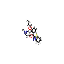 CCCCOc1cccc(C(OC2CCN(C)CC2)c2nc3ccccc3s2)c1